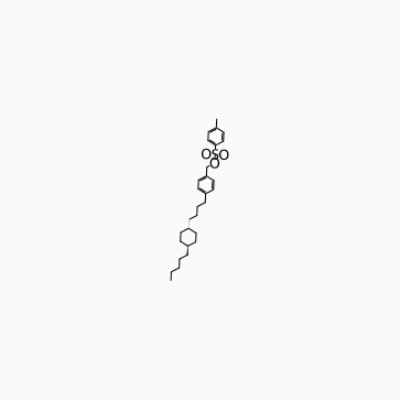 CCCCC[C@H]1CC[C@H](CCCCc2ccc(COS(=O)(=O)c3ccc(C)cc3)cc2)CC1